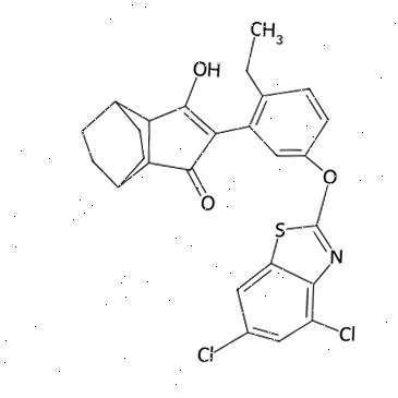 CCc1ccc(Oc2nc3c(Cl)cc(Cl)cc3s2)cc1C1=C(O)C2C3CCC(CC3)C2C1=O